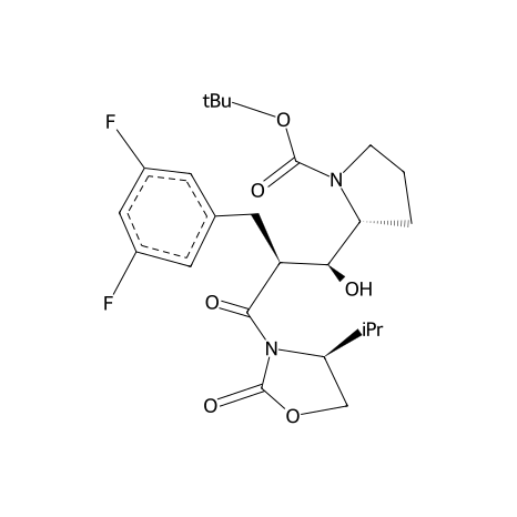 CC(C)[C@H]1COC(=O)N1C(=O)[C@@H](Cc1cc(F)cc(F)c1)[C@H](O)[C@H]1CCCN1C(=O)OC(C)(C)C